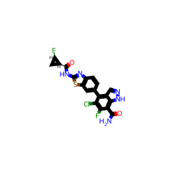 NC(=O)c1c(F)c(Cl)c(-c2ccc3nc(NC(=O)[C@@H]4C[C@@H]4F)sc3c2)c2cn[nH]c12